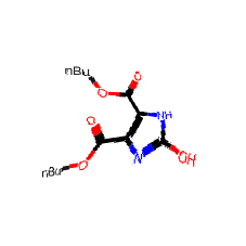 CCCCOC(=O)c1nc(O)[nH]c1C(=O)OCCCC